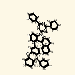 C1=CC(c2nc(-c3ccccc3)nc(-n3c4cccc(-c5ccc6c(c5)Oc5ccccc5N6c5ccccc5)c4c4c5ccccc5ccc43)n2)=CCC1